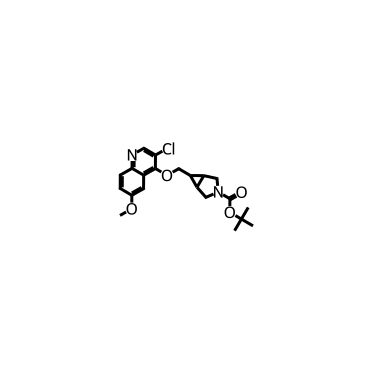 COc1ccc2ncc(Cl)c(OCC3C4CN(C(=O)OC(C)(C)C)CC34)c2c1